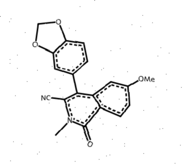 COc1ccc2c(=O)n(C)c(C#N)c(-c3ccc4c(c3)OCO4)c2c1